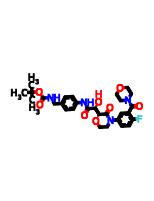 CC(C)(C)OC(=O)NCc1ccc(NC(=O)[C@H](O)[C@H]2OCCN(c3ccc(F)c(C(=O)N4CCOCC4)c3)C2=O)cc1